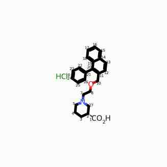 Cl.O=C(O)[C@@H]1CCCN(CCOCc2ccc3ccccc3c2-c2ccccc2)C1